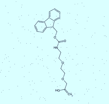 C=C(O)COCCOCCNC(=O)OCC1c2ccccc2-c2ccccc21